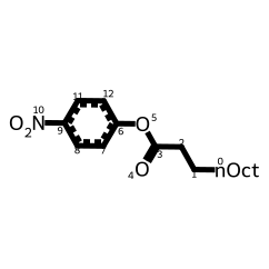 CCCCCCCCCCC(=O)Oc1ccc([N+](=O)[O-])cc1